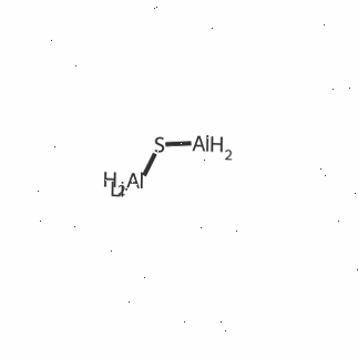 [AlH2][S][AlH2].[Li]